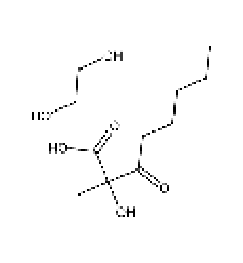 CCCCCC(=O)C(C)(O)C(=O)O.OCCO